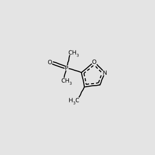 Cc1cnoc1P(C)(C)=O